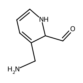 NCC1=CC=CNC1C=O